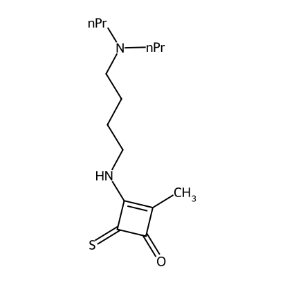 CCCN(CCC)CCCCNc1c(C)c(=O)c1=S